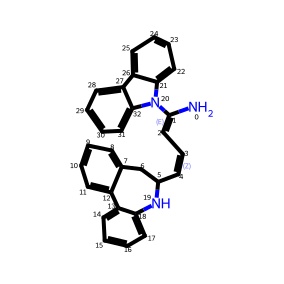 N/C(=C\C=C/C1Cc2ccccc2-c2ccccc2N1)n1c2ccccc2c2ccccc21